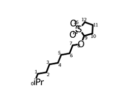 CC(C)CCCCCCCOC1CCCS1(=O)=O